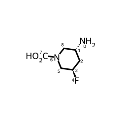 N[C@@H]1C[C@@H](F)CN(C(=O)O)C1